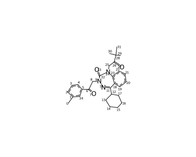 Cc1cccc(C(=O)CN2N=C(C3CCCCC3)c3ccccc3N(CC(=O)C(C)(C)C)C2=O)c1